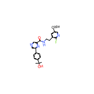 COc1cnc(F)c(CCNC(=O)c2cncc(-c3ccc(C(C)(C)O)cc3)n2)c1